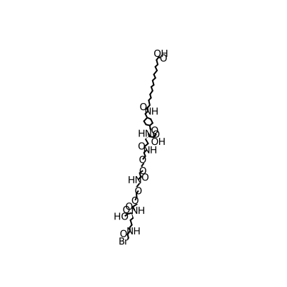 O=C(O)CCCCCCCCCCCCCCC(=O)NCC1CCC(C(=O)N[C@@H](CCC(=O)NCCOCCOCC(=O)NCCOCCOCC(=O)N[C@@H](CCCCNC(=O)CBr)C(=O)O)C(=O)O)CC1